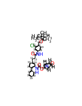 CN1[C@@H]2C[C@@H](OC(=O)Nc3cc(CCC(=O)Nc4ccc(CO[Si](C)(C)C(C)(C)C)c(Cl)c4)ccc3-c3ccccc3)C[C@H]1[C@@H]1O[C@@H]12